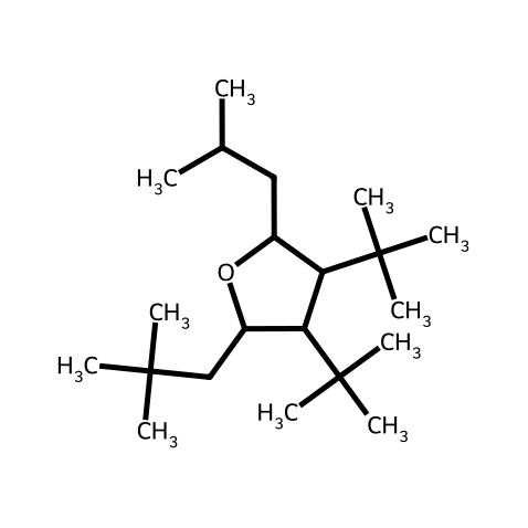 CC(C)CC1OC(CC(C)(C)C)C(C(C)(C)C)C1C(C)(C)C